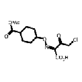 COC(=O)C1CCC(ON=C(C(=O)O)C(=O)CCl)CC1